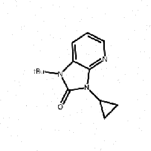 CC(C)(C)n1c(=O)n(C2CC2)c2ncccc21